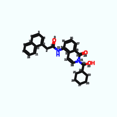 O=C(Cc1cccc2ccccc12)Nc1cccc2c(=O)n(C(O)C3CCCCC3)ccc12